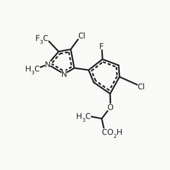 CC(Oc1cc(-c2nn(C)c(C(F)(F)F)c2Cl)c(F)cc1Cl)C(=O)O